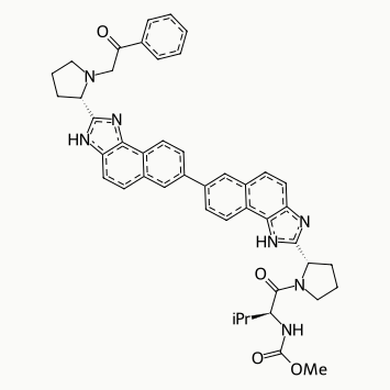 COC(=O)N[C@H](C(=O)N1CCC[C@H]1c1nc2ccc3cc(-c4ccc5c(ccc6[nH]c([C@@H]7CCCN7CC(=O)c7ccccc7)nc65)c4)ccc3c2[nH]1)C(C)C